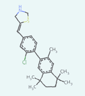 Cc1cc2c(cc1-c1ccc(C=C3CNCS3)cc1Cl)C(C)(C)CCC2(C)C